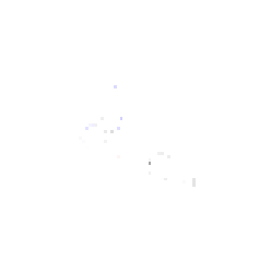 Cc1ncc2c(n1)c1c(n2CC(O)c2ccc(C(F)(F)F)cc2)CCN2CCCCC12